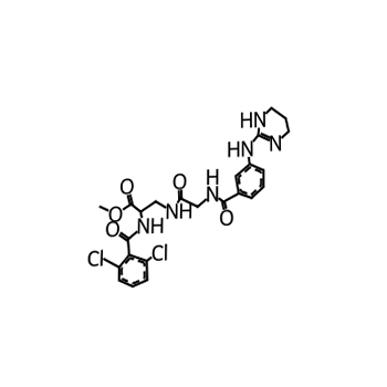 COC(=O)C(CNC(=O)CNC(=O)c1cccc(NC2=NCCCN2)c1)NC(=O)c1c(Cl)cccc1Cl